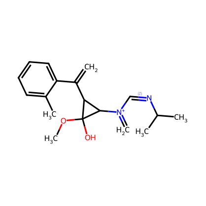 C=C(c1ccccc1C)C1C([N+](=C)/C=N\C(C)C)C1(O)OC